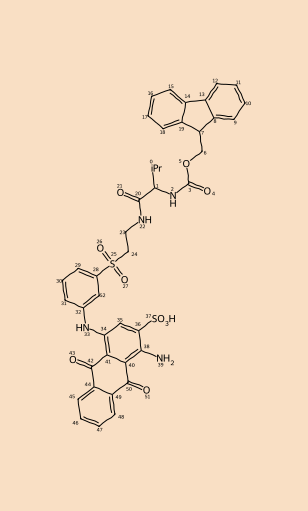 CC(C)C(NC(=O)OCC1c2ccccc2-c2ccccc21)C(=O)NCCS(=O)(=O)c1cccc(Nc2cc(S(=O)(=O)O)c(N)c3c2C(=O)c2ccccc2C3=O)c1